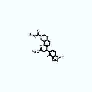 CCn1nnc2c(C)c(C(CC(=O)OC)c3ccc4c(n3)CN(C(=O)OC(C)(C)C)CC4)ccc21